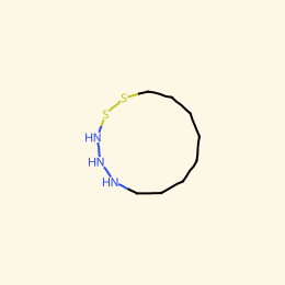 C1CCCCSSNNNCCC1